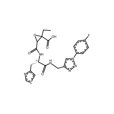 CCC1(C(=O)O)OC1C(=O)N[C@@H](Cc1cscn1)C(=O)NCc1cn(-c2ccc(F)cc2)nn1